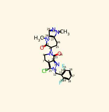 CN1C(=O)C(N2CCc3c(nn(Cc4c(F)cccc4F)c3Cl)C2=O)CCc2c1cnn2C